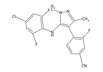 Cc1nn(C)c(Nc2c(F)cc(Cl)cc2F)c1-c1ccc(C#N)cc1F